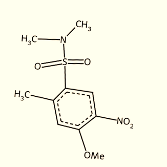 COc1cc(C)c(S(=O)(=O)N(C)C)cc1[N+](=O)[O-]